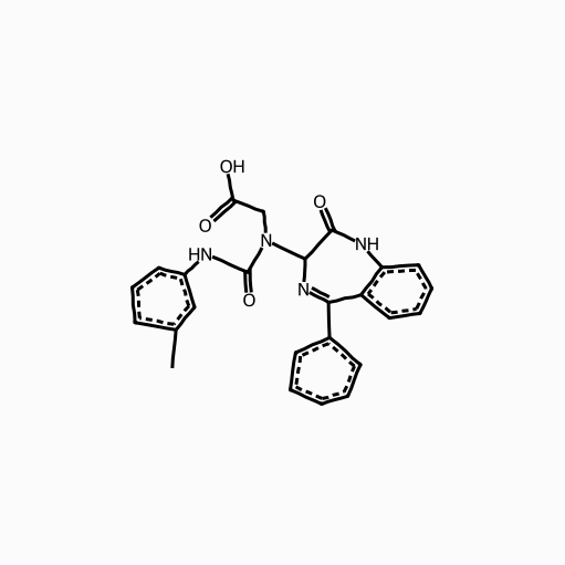 Cc1cccc(NC(=O)N(CC(=O)O)C2N=C(c3ccccc3)c3ccccc3NC2=O)c1